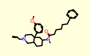 C=CCN1CCC2(c3cccc(OC)c3)CC(N(C)C(=O)CCCCCc3ccccc3)CCC2C1